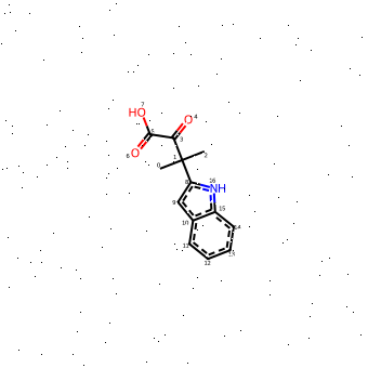 CC(C)(C(=O)C(=O)O)c1cc2ccccc2[nH]1